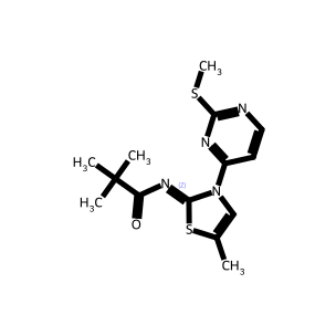 CSc1nccc(-n2cc(C)s/c2=N\C(=O)C(C)(C)C)n1